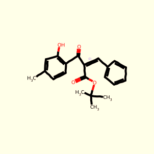 Cc1ccc(C(=O)/C(=C/c2ccccc2)C(=O)OC(C)(C)C)c(O)c1